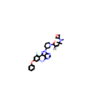 CN(C1COC1)C(C)(C)/C=C(/C#N)C(=O)N1CCCC(n2nc(-c3ccc(Oc4ccccc4)cc3F)c3c(N)ncnc32)C1